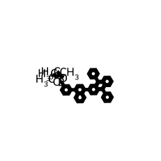 CC1(C)OB(c2cccc(-c3ccc(-c4ccc5c(-c6ccccc6)c6ccccc6c(-c6ccccc6)c5c4)c4ccccc34)c2)OC1(C)C